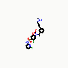 CNCC#Cc1cccc([C@@H](C)n2c(=O)oc3cc(S(=O)(=O)Nc4cccc(F)n4)c(F)cc32)c1